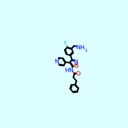 NCc1cc(-c2noc(NC(=O)CCc3ccccc3)c2-c2ccncc2)ccc1F